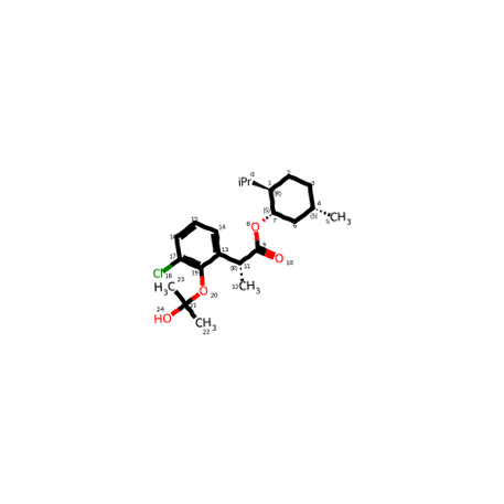 CC(C)[C@H]1CC[C@H](C)C[C@@H]1OC(=O)[C@H](C)c1cccc(Cl)c1OC(C)(C)O